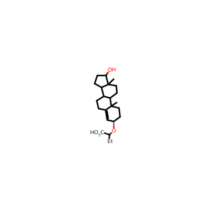 CCC(O[C@H]1C=C2CCC3C(CCC4(C)C(O)CCC34)C2(C)CC1)C(=O)O